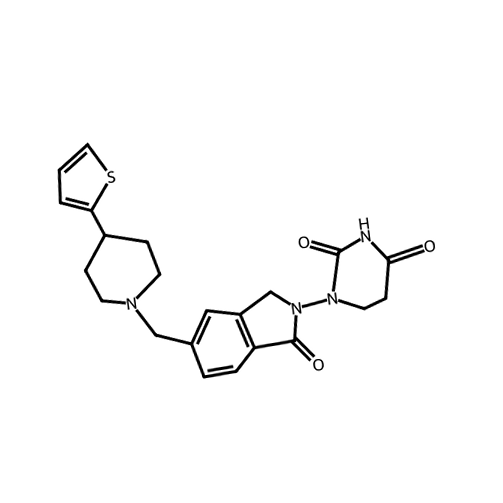 O=C1CCN(N2Cc3cc(CN4CCC(c5cccs5)CC4)ccc3C2=O)C(=O)N1